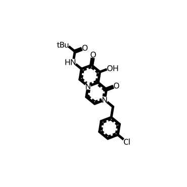 CC(C)(C)C(=O)Nc1cn2ccn(Cc3cccc(Cl)c3)c(=O)c2c(O)c1=O